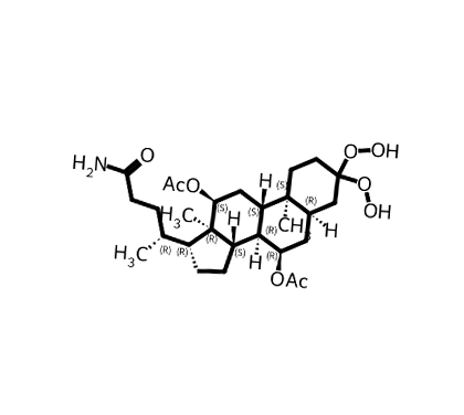 CC(=O)O[C@H]1C[C@H]2[C@@H]([C@H](OC(C)=O)C[C@@H]3CC(OO)(OO)CC[C@@]32C)[C@@H]2CC[C@H]([C@H](C)CCC(N)=O)[C@@]12C